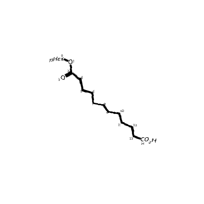 CCCCCCOC(=O)CCCCCCCCCCC(=O)O